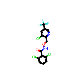 O=C(NOCc1ncc(C(F)(F)F)cc1Cl)c1c(Cl)cccc1Cl